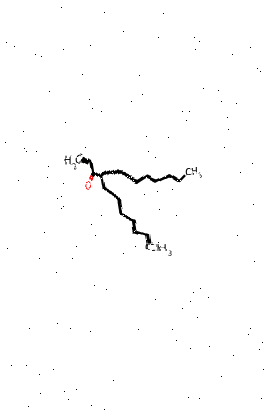 C=CC(=O)C(CCCCCCC)CCCCCCC